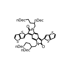 CCCCCCCCCCCCC(CCCCCCCCCC)CN1C(=O)C(c2cc3sccc3s2)=c2cc3c(cc21)=C(c1cc2sccc2s1)C(=O)N3CC(CCCCCCCCCC)CCCCCCCCCCCC